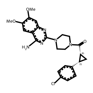 COc1cc2nc(N3CCN(C(=O)[C@@H]4C[C@@H]4c4ccc(Cl)cc4)CC3)nc(N)c2cc1OC